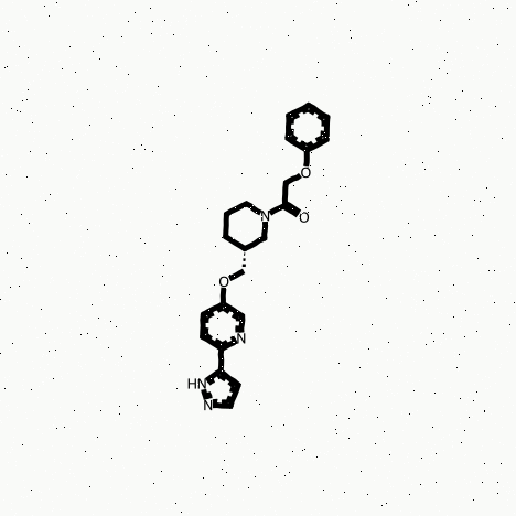 O=C(COc1ccccc1)N1CCC[C@@H](COc2ccc(-c3ccn[nH]3)nc2)C1